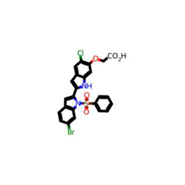 O=C(O)COc1cc2[nH]c(-c3cc4ccc(Br)cc4n3S(=O)(=O)c3ccccc3)cc2cc1Cl